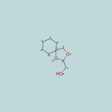 OCC1OCC2(CCCCC2)O1